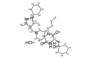 CCCCN1C(=O)[C@@H](CC2(O)CCCCC2)NC(=O)C12CCN(Cc1c(C)nn(C3CCCCC3)c1C)CC2.Cl